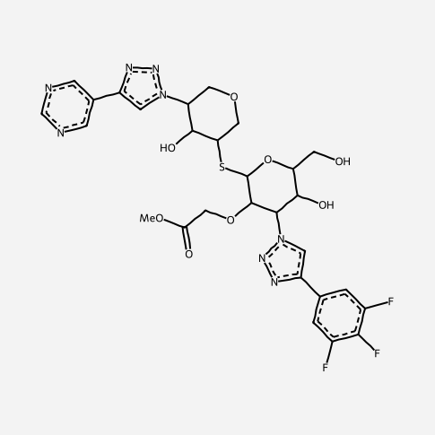 COC(=O)COC1C(SC2COCC(n3cc(-c4cncnc4)nn3)C2O)OC(CO)C(O)C1n1cc(-c2cc(F)c(F)c(F)c2)nn1